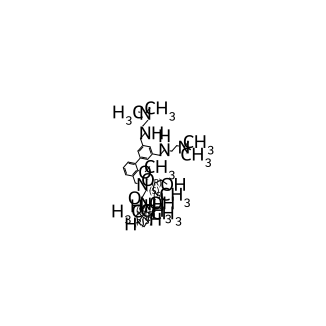 COc1c(CN2O[C@@H](CO)[C@H]([C@H](C)O)C2C(=O)N[C@H]2C[C@H]3C[C@@H]([C@@H]2C)C3(C)C)cccc1-c1cc(CNCCN(C)C)cc(CNCCN(C)C)c1